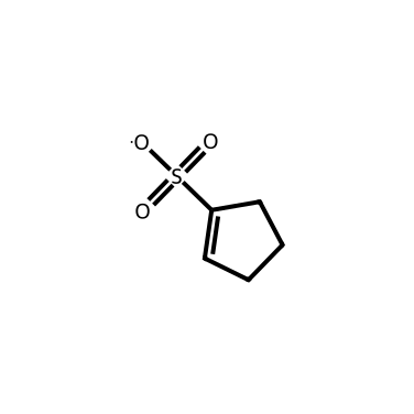 [O]S(=O)(=O)C1=CCCC1